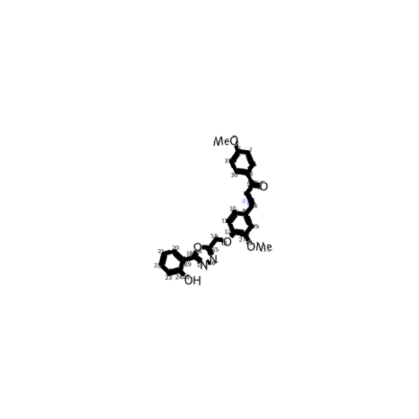 COc1ccc(C(=O)/C=C/c2ccc(OCc3nnc(-c4ccccc4O)o3)c(OC)c2)cc1